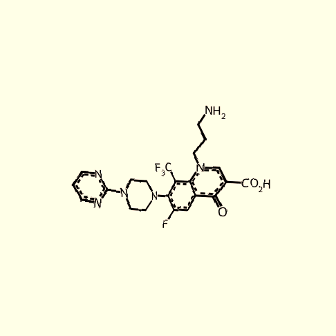 NCCCn1cc(C(=O)O)c(=O)c2cc(F)c(N3CCN(c4ncccn4)CC3)c(C(F)(F)F)c21